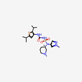 CC(C)c1cc(NC(=O)NS(=O)(=O)N(c2cnn(C)c2)[C@@H]2CCCN(C)C2)c(C(C)C)s1